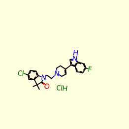 CC1(C)C(=O)N(CCN2CC=C(c3c[nH]c4cc(F)ccc34)CC2)c2ccc(Cl)cc21.Cl